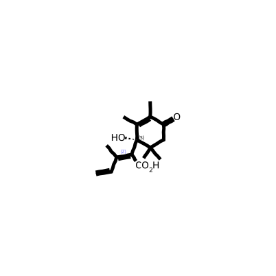 C=C/C(C)=C(\C(=O)O)[C@@]1(O)C(C)=C(C)C(=O)CC1(C)C